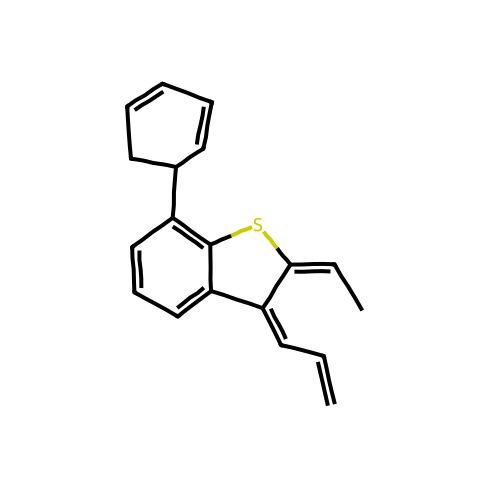 C=C/C=c1\c(=C/C)sc2c(C3C=CC=CC3)cccc12